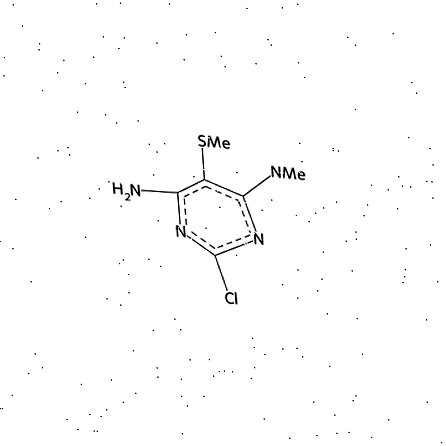 CNc1nc(Cl)nc(N)c1SC